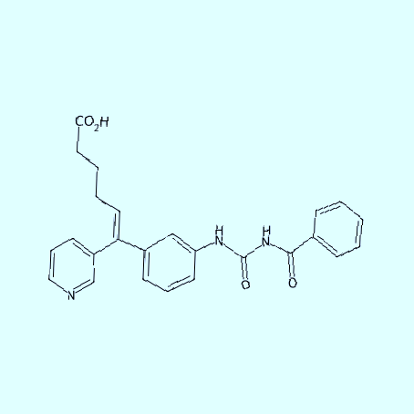 O=C(O)CCC/C=C(\c1cccnc1)c1cccc(NC(=O)NC(=O)c2ccccc2)c1